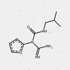 CC(C)CNC(=O)N(C(=N)N)c1ccco1